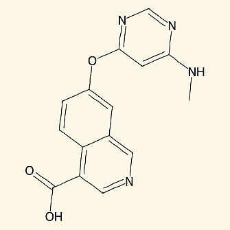 CNc1cc(Oc2ccc3c(C(=O)O)cncc3c2)ncn1